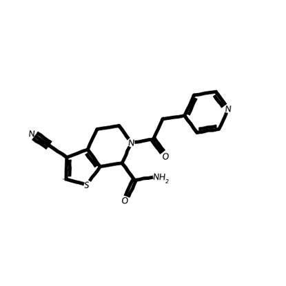 N#Cc1[c]sc2c1CCN(C(=O)Cc1ccncc1)C2C(N)=O